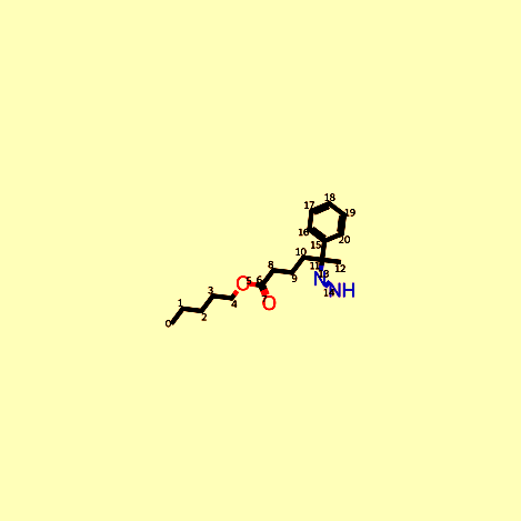 CCCCCOC(=O)CCCC(C)(N=N)c1ccccc1